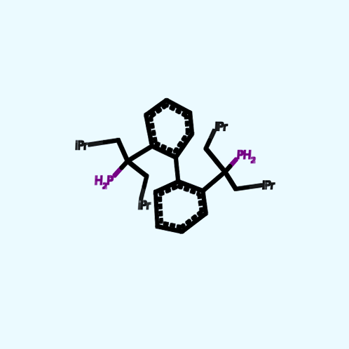 CC(C)CC(P)(CC(C)C)c1ccccc1-c1ccccc1C(P)(CC(C)C)CC(C)C